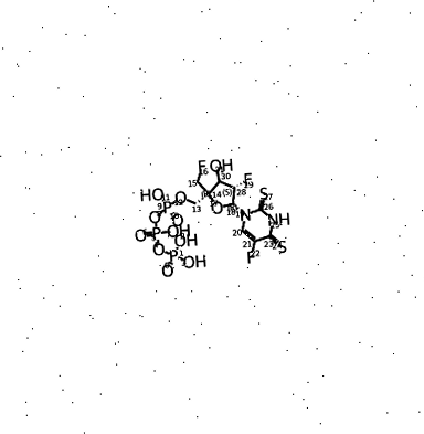 O=P(O)(O)OP(=O)(O)OP(=O)(O)OC[C@@]1(CF)O[C@@H](n2cc(F)c(=S)[nH]c2=S)[C@@H](F)C1O